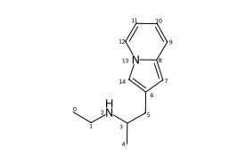 CCNC(C)Cc1cc2ccccn2c1